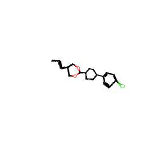 C/C=C/C1COC(C2CCC(c3ccc(Cl)cc3)CC2)OC1